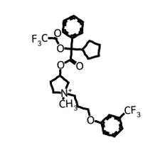 C[N+]1(CCCOc2cccc(C(F)(F)F)c2)CCC(OC(=O)C(OC(=O)C(F)(F)F)(c2ccccc2)C2CCCC2)C1